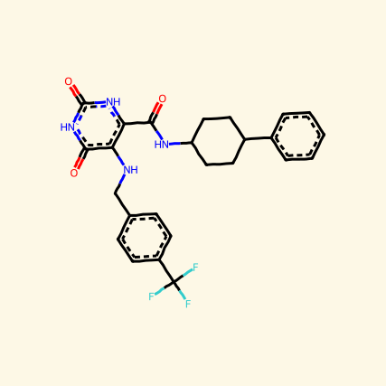 O=C(NC1CCC(c2ccccc2)CC1)c1[nH]c(=O)[nH]c(=O)c1NCc1ccc(C(F)(F)F)cc1